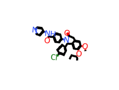 CCC(C)Oc1cc2c(cc1OC)CC(=O)N(c1ccc(C(=O)Nc3ccncc3)cc1)C2c1ccc(Cl)cc1